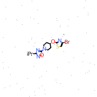 CC(C)c1noc(N2CCC(Oc3nc(Br)cs3)CC2)n1